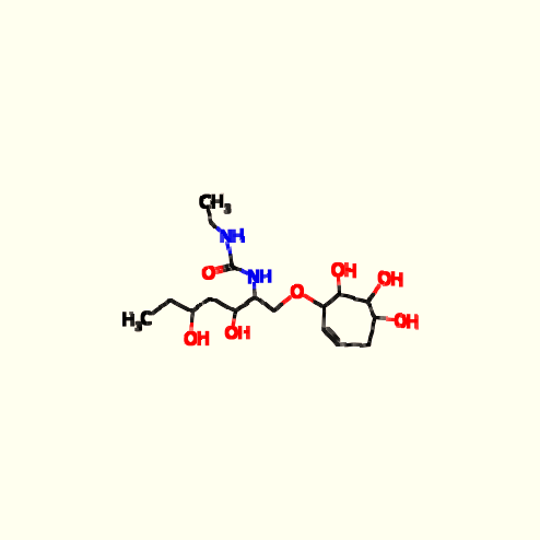 CCNC(=O)NC(COC1C=CCC(O)C(O)C1O)C(O)CC(O)CC